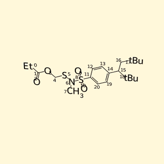 CCC(=O)OCSN(C)S(=O)(=O)c1ccc(C(CC(C)(C)C)C(C)(C)C)cc1